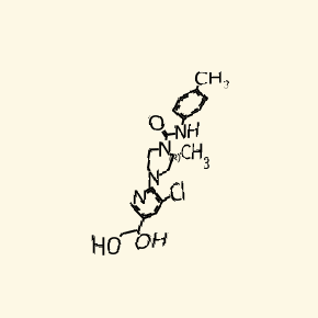 Cc1ccc(NC(=O)N2CCN(c3ncc(C(O)CO)cc3Cl)C[C@H]2C)cc1